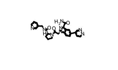 NC(=O)c1nn(CC(=O)N2CCC[C@H]2C(=O)NCc2cccnc2)c2ccc(-c3ccnnc3)cc12